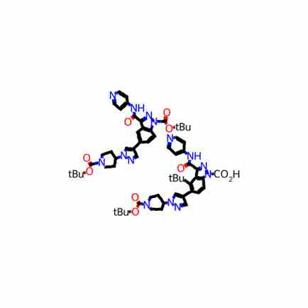 CC(C)(C)OC(=O)N1CCC(n2cc(-c3ccc4c(c(C(=O)Nc5ccncc5)nn4C(=O)O)c3C(C)(C)C)cn2)CC1.CC(C)(C)OC(=O)N1CCC(n2cc(-c3ccc4c(c3)c(C(=O)Nc3ccncc3)nn4C(=O)OC(C)(C)C)cn2)CC1